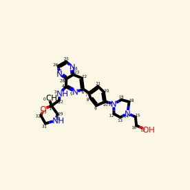 CC1(CNc2nc(-c3ccc(N4CCN(CCO)CC4)cc3)cc3nccnc23)CNCCO1